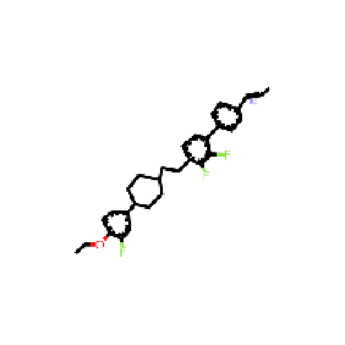 C/C=C/c1ccc(-c2ccc(CCC3CCC(c4ccc(OCC)c(F)c4)CC3)c(F)c2F)cc1